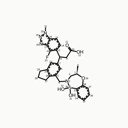 C[C@@H]1CN(Cc2cc(C(CC(=O)O)c3ccc4c(nnn4C)c3F)cc3c2CCC3)S(O)(O)c2ccccc2O1